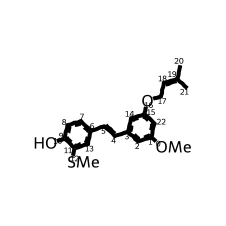 COc1cc(/C=C/c2ccc(O)c(SC)c2)cc(OCC=C(C)C)c1